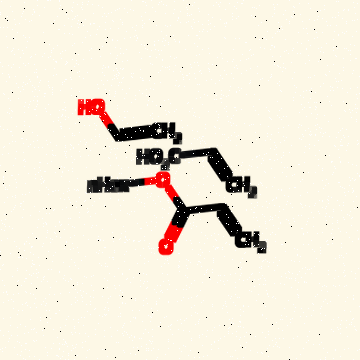 C=CC(=O)O.C=CC(=O)OCCCCCC.C=CO